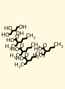 CCCCC(CC)C(=O)O.CCCCC(CC)C(=O)O.CCCCC(CC)C(=O)O.CCCCC(CC)C(=O)O.OCC(O)C(O)CO